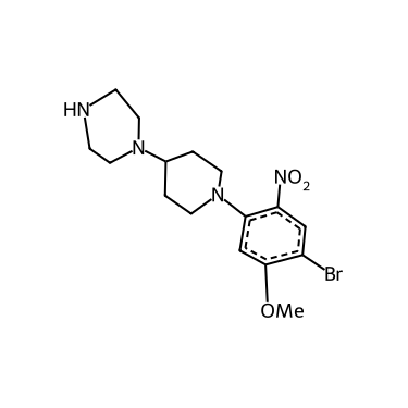 COc1cc(N2CCC(N3CCNCC3)CC2)c([N+](=O)[O-])cc1Br